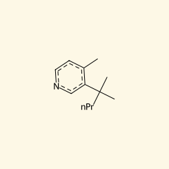 CCCC(C)(C)c1cnccc1C